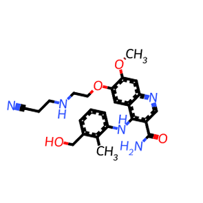 COc1cc2ncc(C(N)=O)c(Nc3cccc(CO)c3C)c2cc1OCCNCCC#N